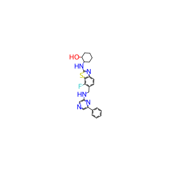 O[C@H]1CCCCC1Nc1nc2ccc(CNc3cncc(-c4ccccc4)n3)c(F)c2s1